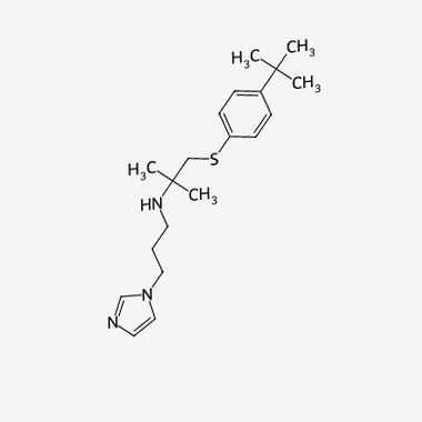 CC(C)(CSc1ccc(C(C)(C)C)cc1)NCCCn1ccnc1